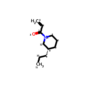 C=CC(=O)N1CCC[C@H](CCC)C1